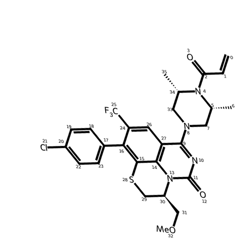 C=CC(=O)N1[C@H](C)CN(c2nc(=O)n3c4c(c(-c5ccc(Cl)cc5)c(C(F)(F)F)cc24)SC[C@@H]3COC)C[C@@H]1C